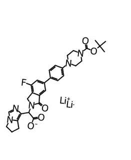 CC(C)(C)OC(=O)N1CCN(c2ccc(-c3cc(F)c4c(c3)C(=O)N(C(C(=O)[O-])c3ncn5c3CCC5)C4)cc2)CC1.[Li+].[Li]